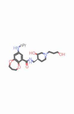 CCCNc1cc2c(c(C(=O)NC[C@@H]3CCN(CCCO)CC3O)c1)OCCCO2